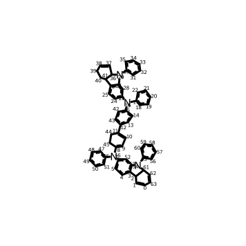 C1=CC2c3ccc(N(C4=CC=C(c5ccc(N(c6ccccc6)c6ccc7c(c6)N(c6ccccc6)C6C=CCCC76)cc5)CC4)c4ccccc4)cc3N(c3ccccc3)C2C=C1